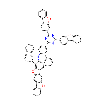 c1ccc(-c2cc(-c3nc(-c4ccc5c(c4)oc4ccccc45)nc(-c4ccc5c(c4)oc4ccccc45)n3)cc(-c3ccccc3)c2-n2c3ccccc3c3c4oc5cc6c(cc5c4ccc32)oc2ccccc26)cc1